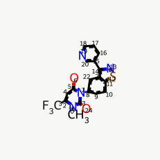 Cn1c(C(F)(F)F)cc(=O)n(-c2ccc3snc(-c4cccnc4)c3c2)c1=O